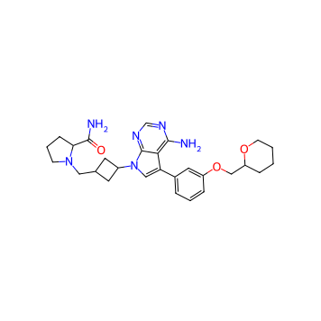 NC(=O)C1CCCN1CC1CC(n2cc(-c3cccc(OCC4CCCCO4)c3)c3c(N)ncnc32)C1